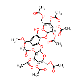 COC(=O)c1cc(O)c(OC2O[C@H](COC(C)=O)[C@H](OC(C)=O)[C@H](OC(C)=O)[C@H]2OC(C)=O)c(OC2O[C@H](COC(C)=O)[C@H](OC(C)=O)[C@H](OC(C)=O)[C@H]2OC(C)=O)c1